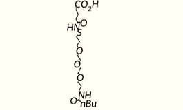 CCCCC(=O)NCCCOCCOCCOCCCSNC(=O)CCCC(=O)O